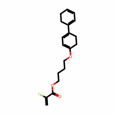 C=C(F)C(=O)OCCCCOC1=CC=C(C2=CC=CCC2)CC1